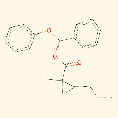 CCCC1CC1(C)C(=O)OC(Oc1ccccc1)c1ccccc1